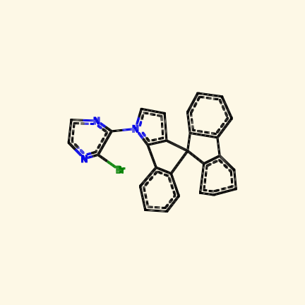 Brc1nccnc1-n1ccc2c1-c1ccccc1C21c2ccccc2-c2ccccc21